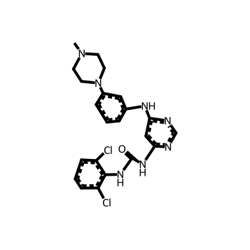 CN1CCN(c2cccc(Nc3cc(NC(=O)Nc4c(Cl)cccc4Cl)ncn3)c2)CC1